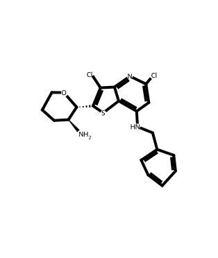 N[C@H]1CCCO[C@@H]1c1sc2c(NCc3ccccc3)cc(Cl)nc2c1Cl